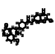 COc1ccc2ncc(=O)n(CC(N)C3CCC(NCc4ccc5c(n4)OC(=O)CN5)CC3)c2c1